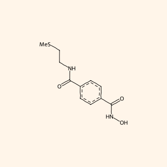 CSCCNC(=O)c1ccc(C(=O)NO)cc1